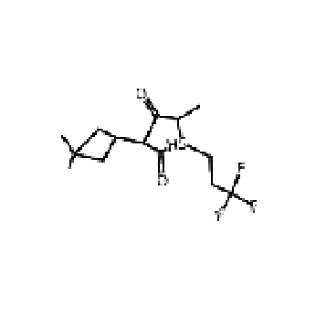 CC1C(=O)C(C2CC(C)(C)C2)C(=O)[SH]1CCC(F)(F)F